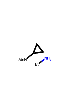 CCN.CNC1CC1